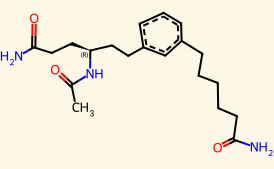 CC(=O)N[C@@H](CCC(N)=O)CCc1cccc(CCCCCC(N)=O)c1